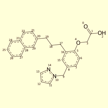 O=C(O)COc1ccc(Cn2cccn2)cc1CCCc1ccc2ccccc2c1